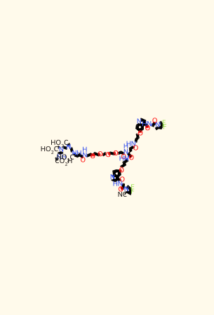 CC1CC(F)(F)CN1C(=O)CNC(=O)c1ccnc2ccc(OCCCCNC(=O)CC[C@H](NC(=O)CCOCCOCCOCCOCCNC(=O)CCC(NCCN(CCN(CCNCC(=O)O)CC(=O)O)CC(=O)O)C(=O)O)C(=O)NCCCCOc3ccc4nccc(C(=O)NCC(=O)N5CC(F)(F)C[C@H]5C#N)c4c3)cc12